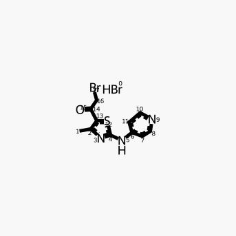 Br.Cc1nc(Nc2ccncc2)sc1C(=O)CBr